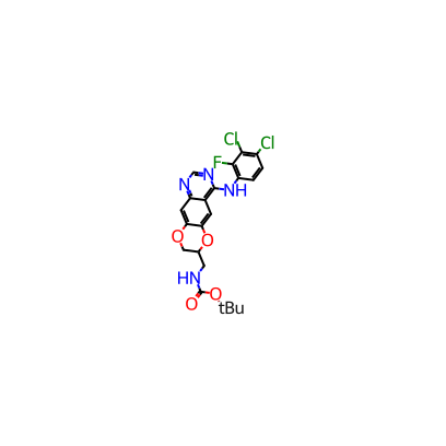 CC(C)(C)OC(=O)NCC1COc2cc3ncnc(Nc4ccc(Cl)c(Cl)c4F)c3cc2O1